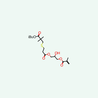 C=C(C)C(=O)OCC(O)COC(=O)CCSCC(C)(C)C(=O)OCC(C)C